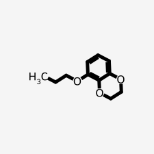 CCCOc1cccc2c1OCCO2